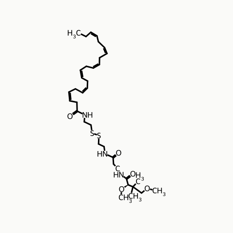 CC/C=C\C/C=C\C/C=C\C/C=C\C/C=C\C/C=C\CC(=O)NCCSSCCNC(=O)CCNC(=O)[C@H](OC)C(C)(C)COC